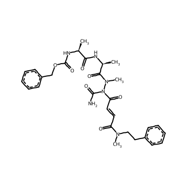 C[C@H](NC(=O)OCc1ccccc1)C(=O)N[C@@H](C)C(=O)N(C)N(C(N)=O)C(=O)/C=C/C(=O)N(C)CCc1ccccc1